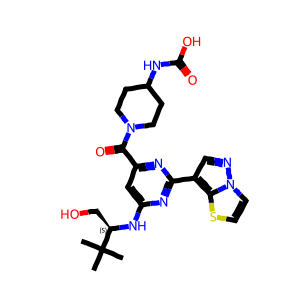 CC(C)(C)[C@@H](CO)Nc1cc(C(=O)N2CCC(NC(=O)O)CC2)nc(-c2cnn3ccsc23)n1